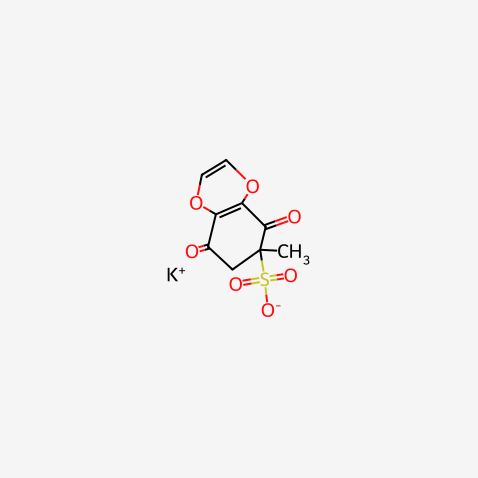 CC1(S(=O)(=O)[O-])CC(=O)C2=C(OC=CO2)C1=O.[K+]